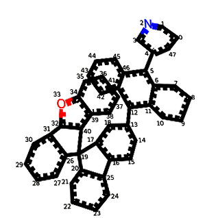 c1cncc(-c2c3ccccc3c(-c3ccc4c(c3)C3(c5ccccc5-4)c4ccccc4-c4oc5ccccc5c43)c3ccccc23)c1